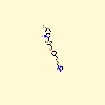 Clc1ccc2cc(-c3nc(COc4ccc(CCCCn5ccnn5)cc4)co3)[nH]c2c1